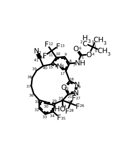 CC(C)(C)OC(=O)Nc1cc(C(F)(F)F)c2nc1-c1nnc(o1)C(O)(C(F)(F)F)c1cc(ccc1F)CCCCC2C#N